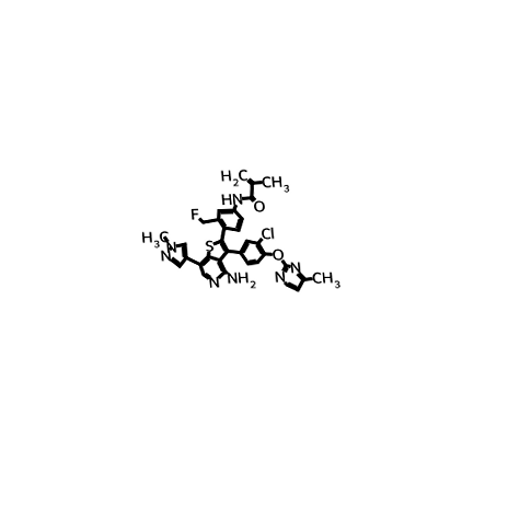 C=C(C)C(=O)Nc1ccc(-c2sc3c(-c4cnn(C)c4)cnc(N)c3c2-c2ccc(Oc3nccc(C)n3)c(Cl)c2)c(CF)c1